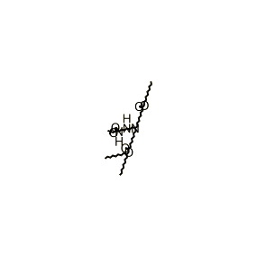 CCCCCCCCCOC(=O)CCCCCCCN(CCCCCCCC(=O)OC(CCCCCCCC)CCCCCCCC)CCNCCNC(=O)OC(C)(C)C